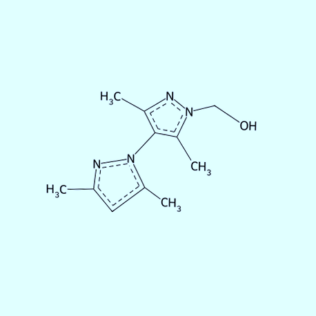 Cc1cc(C)n(-c2c(C)nn(CO)c2C)n1